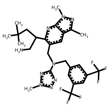 Cc1nn(C)c2nc(C(CN)CC(C)(C)C)c(CN(Cc3cc(C(F)(F)F)cc(C(F)(F)F)c3)c3nnn(C)n3)cc12